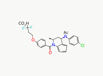 CC(=O)N(c1ccc(Cl)cc1)[C@@H]1C[C@H](C)N(C(=O)c2ccc(OCCC(F)(F)C(=O)O)cc2)c2ccccc21